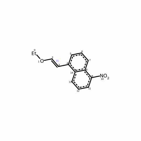 CCO/C=C/c1cccc2c([N+](=O)[O-])cccc12